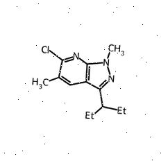 CCC(CC)c1nn(C)c2nc(Cl)c(C)cc12